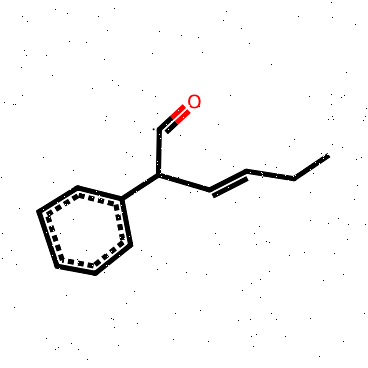 CC/C=C/C([C]=O)c1ccccc1